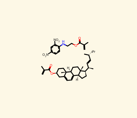 C=C(C)C(=O)OCCNc1ccc([N+](=O)[O-])cc1[N+](=O)[O-].C=C(C)C(=O)O[C@H]1CC[C@@]2(C)C(=CC=C3[C@@H]4CC[C@H]([C@H](C)C=C[C@H](C)C(C)C)[C@@]4(C)CC[C@@H]32)C1